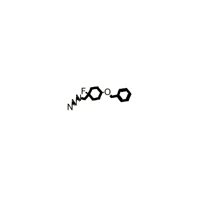 [N-]=[N+]=NC[C@]1(F)CC[C@H](OCc2ccccc2)CC1